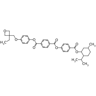 CCC1(COc2ccc(OC(=O)c3ccc(C(=O)Oc4ccc(C(=O)OC5CC(C)CCC5C(C)C)cc4)cc3)cc2)COC1